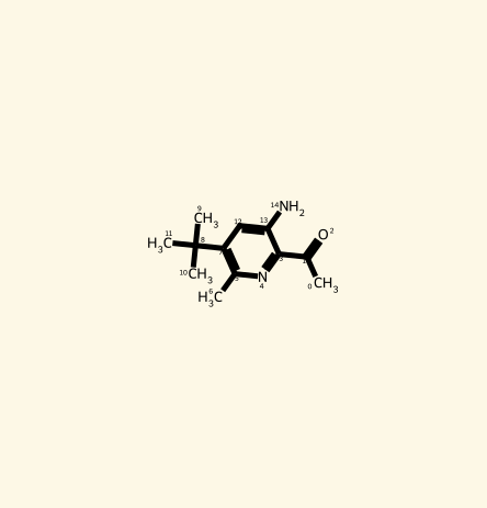 CC(=O)c1nc(C)c(C(C)(C)C)cc1N